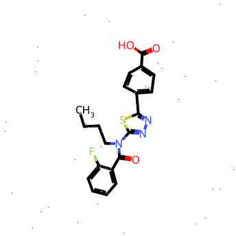 CCCCN(C(=O)c1ccccc1F)c1nnc(-c2ccc(C(=O)O)cc2)s1